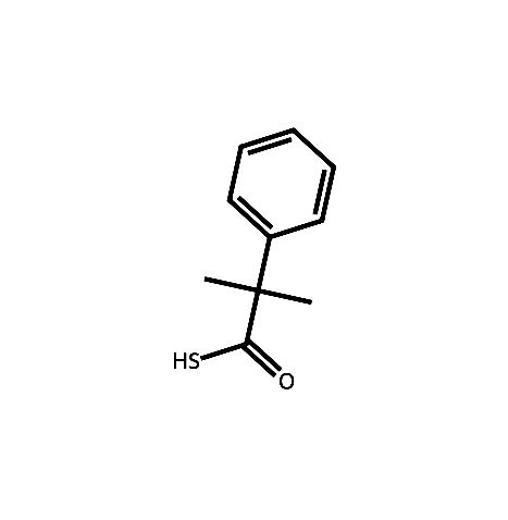 CC(C)(C(=O)S)c1ccccc1